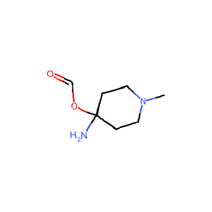 CN1CCC(N)(OC=O)CC1